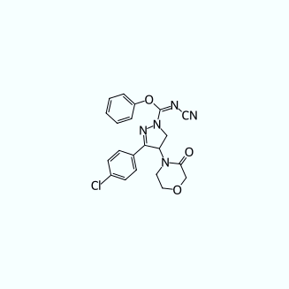 N#CN=C(Oc1ccccc1)N1CC(N2CCOCC2=O)C(c2ccc(Cl)cc2)=N1